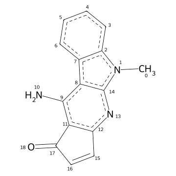 Cn1c2ccccc2c2c(N)c3c(nc21)C=CC3=O